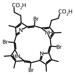 CC1=C(C)c2nc1c(Br)c1[nH]c(c(C)c1C)c(Br)c1nc(c(Br)c3[nH]c(c(C)c3CCC(=O)O)c2Br)C(CCC(=O)O)=C1C